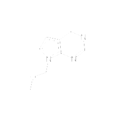 COCn1ccc2c1N=CNC2